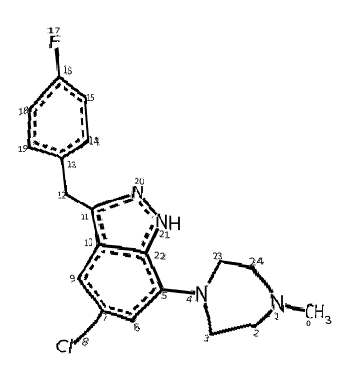 CN1CCN(c2cc(Cl)cc3c(Cc4ccc(F)cc4)n[nH]c23)CC1